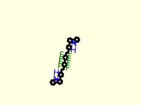 Fc1c(F)c(-c2c(F)c(F)c(C=Cc3ccc(-c4cccc5c4[nH]c4ccccc45)cc3)c(F)c2F)c(F)c(F)c1C=Cc1ccc(-c2cccc3c2[nH]c2ccccc23)cc1